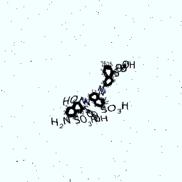 Nc1ccc2c(O)c(/N=N/c3ccc(/N=N/c4ccc5c(SOOO)cccc5c4)c4ccc(S(=O)(=O)O)cc34)c(SOOO)cc2c1S(=O)(=O)O